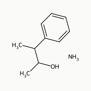 CC(O)C(C)c1ccccc1.N